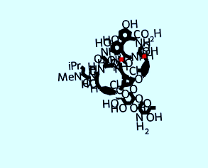 CN[C@H](CC(C)C)C(=O)N[C@H]1C(=O)N[C@H](CC(N)=O)C(=O)N[C@H]2C(=O)N[C@H]3C(=O)N[C@H](C(=O)N[C@H](C(=O)O)c4cc(O)cc(O)c4-c4cc(O)ccc43)[C@H](O)c3ccc(c(Cl)c3)Oc3cc2cc(c3O[C@H]2O[C@H](CO)[C@H](O)C(O)C2O[C@H]2C[C@@H](N)[C@@H](O)C(C)O2)Oc2ccc(cc2Cl)[C@H]1O